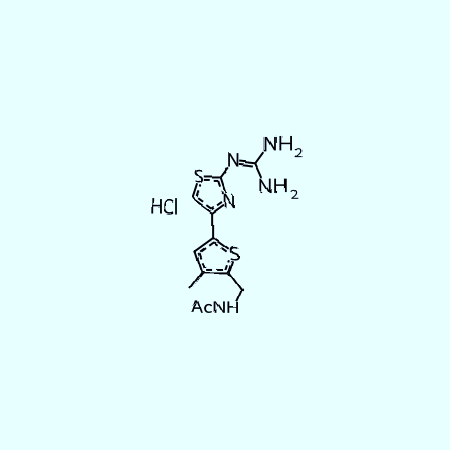 CC(=O)NCc1sc(-c2csc(N=C(N)N)n2)cc1C.Cl